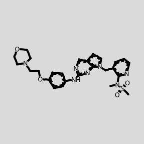 CN(c1ncccc1Cn1ccc2cnc(Nc3ccc(OCCN4CCOCC4)cc3)nc21)S(C)(=O)=O